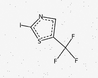 FC(F)(F)c1cnc(I)s1